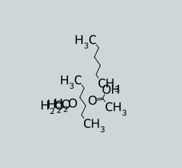 CC(=O)O.CCCCCC.CCCCCC.O.O.O